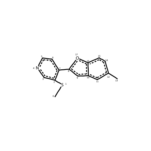 CSc1cnccc1-c1cc2cc(C)ccc2o1